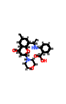 Cc1cc([C@@H](C)Nc2ccccc2C(=O)O)c2oc(N3CCOCC3)cc(=O)c2c1